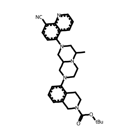 CC1CN(c2ccc(C#N)c3ncccc23)CC2CN(c3cccc4c3CCN(C(=O)OC(C)(C)C)C4)CCN12